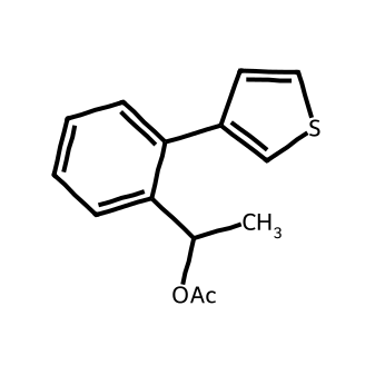 CC(=O)OC(C)c1ccccc1-c1ccsc1